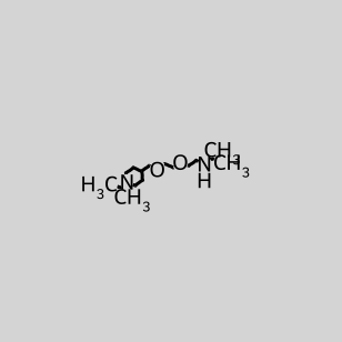 CC(C)NCCOCCOCC1CCN(C(C)C)CC1